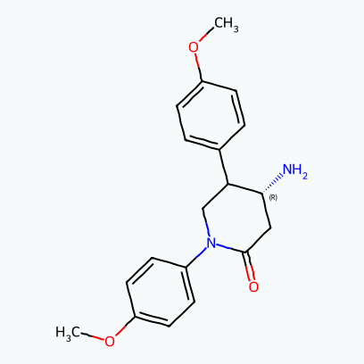 COc1ccc(C2CN(c3ccc(OC)cc3)C(=O)C[C@H]2N)cc1